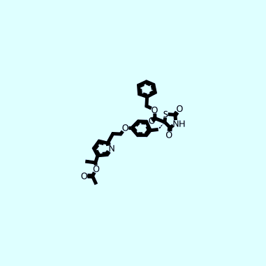 CC(=O)OC(C)c1ccc(CCOc2ccc(C[C@]3(C(=O)OCc4ccccc4)SC(=O)NC3=O)cc2)nc1